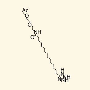 CC(=O)COCCOCCNC(=O)CCCCCCCCCCCCCCC1=NNNN1